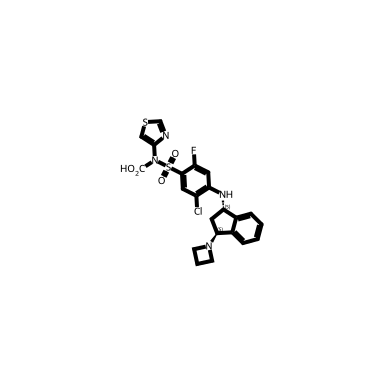 O=C(O)N(c1cscn1)S(=O)(=O)c1cc(Cl)c(N[C@H]2C[C@H](N3CCC3)c3ccccc32)cc1F